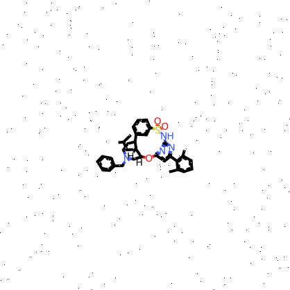 Cc1cccc(C)c1-c1cc2nc(n1)NS(=O)(=O)c1cccc(c1)C1CCN(Cc3ccccc3)C[C@H](O2)[C@@H]1CC(C)C